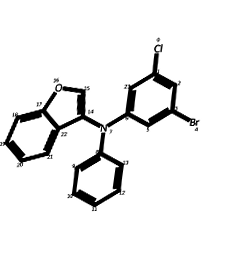 Clc1cc(Br)cc(N(c2ccccc2)c2coc3ccccc23)c1